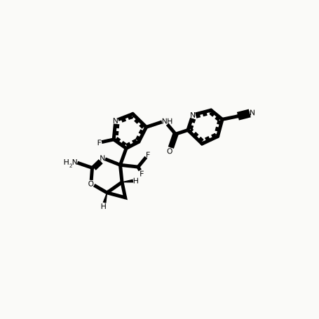 N#Cc1ccc(C(=O)Nc2cnc(F)c(C3(C(F)F)N=C(N)O[C@H]4C[C@H]43)c2)nc1